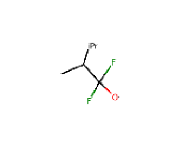 CC(C)C(C)C([O])(F)F